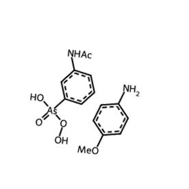 CC(=O)Nc1cccc([As](=O)(O)OO)c1.COc1ccc(N)cc1